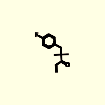 C=CC(=O)C(C)(C)Cc1ccc(F)cc1